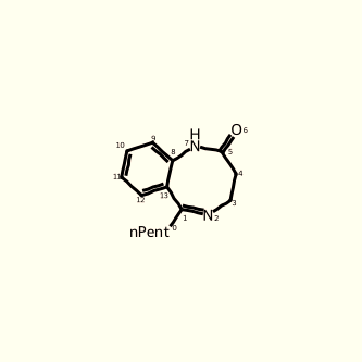 CCCCCC1=NCCC(=O)Nc2ccccc21